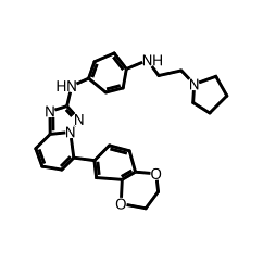 c1cc(-c2ccc3c(c2)OCCO3)n2nc(Nc3ccc(NCCN4CCCC4)cc3)nc2c1